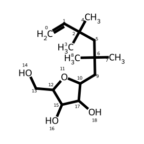 C=CC(C)(C)CC(C)(C)CC1OC(CO)C(O)C1O